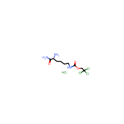 Cl.NC(=O)[C@@H](N)CCCCNC(=O)OCC(Cl)(Cl)Cl